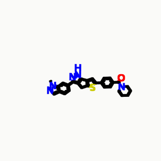 Cn1ncc2ccc(-c3n[nH]c4c3Cc3sc(-c5ccc(C(=O)N6CCCCC6)cc5)cc3-4)cc21